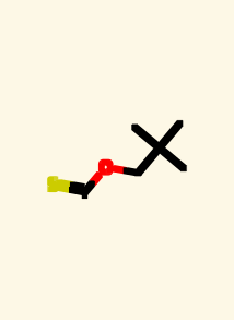 CC(C)(C)CO[C]=S